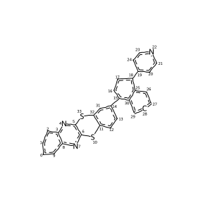 c1ccc2nc3c(nc2c1)Sc1ccc(-c2ccc(-c4ccncc4)c4ccccc24)cc1S3